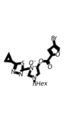 CCCCCCN1CC(OC(=O)c2cc(Br)co2)[N+]([O-])(c2nnc(C3CC3)s2)C1